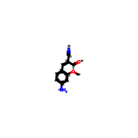 COc1cc(N)ccc1C=C([C]=O)C#N